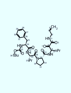 C=CCNC(=O)C(=O)C(CCC)NC(=O)[C@@H]1CCCN1C(=O)[C@@H](NC(=O)[C@H](Cc1ccccc1)NC(=O)OC(C)(C)C)C(C)C